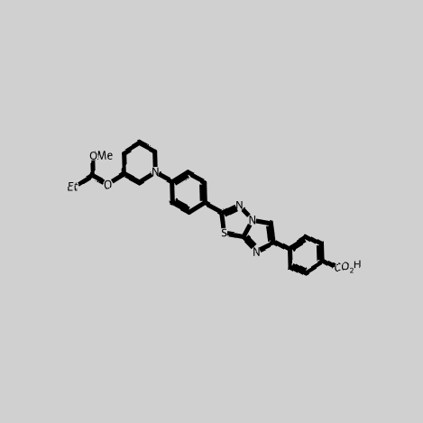 CCC(OC)OC1CCCN(c2ccc(-c3nn4cc(-c5ccc(C(=O)O)cc5)nc4s3)cc2)C1